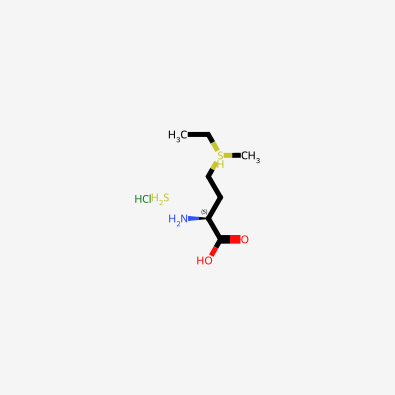 CC[SH](C)CC[C@H](N)C(=O)O.Cl.S